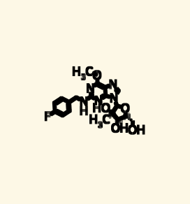 COc1nc(NCc2ccc(F)cc2)nc2c1ncn2C1O[C@H](CO)[C@@H](O)[C@@]1(C)O